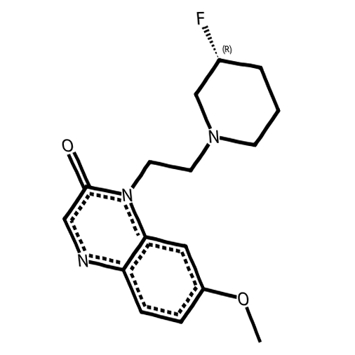 COc1ccc2ncc(=O)n(CCN3CCC[C@@H](F)C3)c2c1